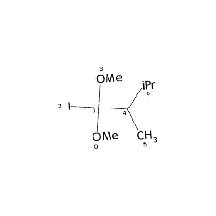 COC(I)(OC)C(C)C(C)C